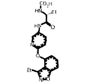 CCc1noc2cccc(Oc3ccc(NC(=O)[C@@H](CC)NC(=O)O)cn3)c12